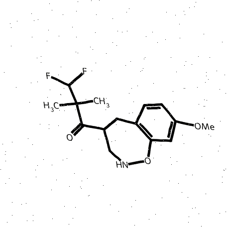 COc1ccc2c(c1)ONCC(C(=O)C(C)(C)C(F)F)C2